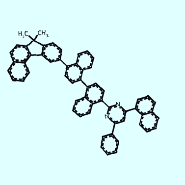 CC1(C)c2ccc(-c3ccc(-c4ccc(-c5nc(-c6ccccc6)cc(-c6cccc7ccccc67)n5)c5ccccc45)c4ccccc34)cc2-c2c1ccc1ccccc21